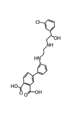 O=C(O)c1ccc(-c2cccc(NCCNC[C@H](O)c3cccc(Cl)c3)c2)cc1C(=O)O